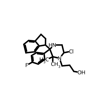 CC1(C)N(CCCO)C(Cl)CNC1(c1ccc(F)cc1)C1CCc2ccccc21